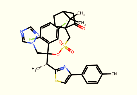 C[C@@H](c1nc(-c2ccc(C#N)cc2)cs1)[C@@](Cn1cncn1)(OS(=O)(=O)CC12CCC(CC1=O)C2(C)C)c1cc(F)ccc1F